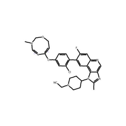 Cc1nc2cnc3cc(F)c(-c4ccc(OC5=C/COCN(C)/C=N\5)cc4Cl)cc3c2n1C1CCN(CC#N)CC1